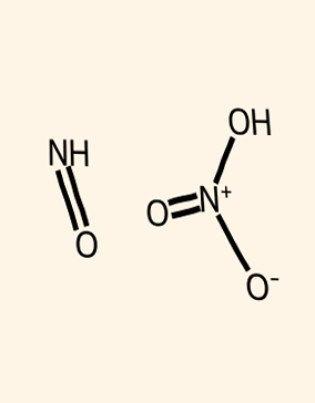 N=O.O=[N+]([O-])O